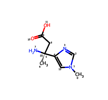 Cn1cnc([C@@](C)(N)CC(=O)O)c1